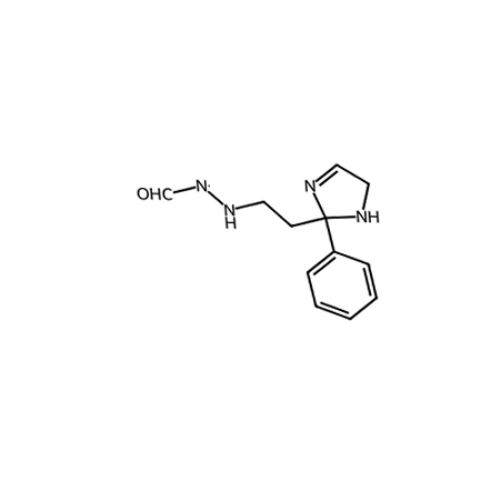 O=C[N]NCCC1(c2ccccc2)N=CCN1